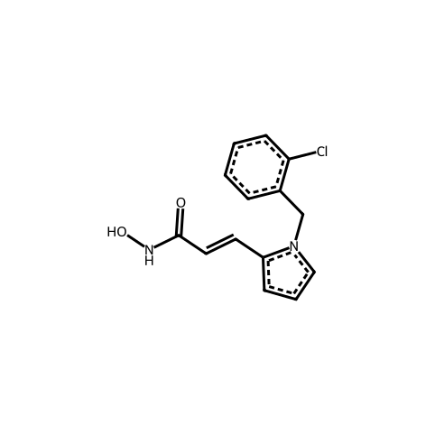 O=C(C=Cc1cccn1Cc1ccccc1Cl)NO